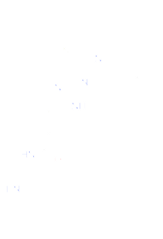 CC1(O)CCC(Nc2nc(Nc3cc(C(=O)NC4CCNC4)cs3)nc3ccsc23)CC1